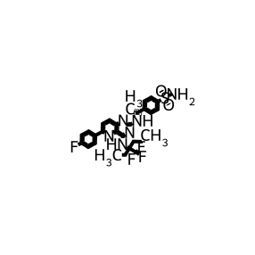 CCCC(CC)(Nc1nc(N[C@H](C)c2ccc(S(N)(=O)=O)cc2)nc2ccc(-c3ccc(F)cc3)nc12)C(F)(F)F